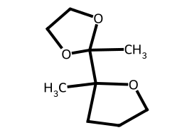 CC1(C2(C)OCCO2)CCCO1